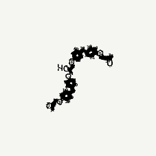 OC(COc1ccc(Cc2ccc(OCC3CO3)cc2)cc1)COc1ccc(Cc2ccc(OCC3CO3)cc2)cc1